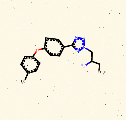 Cc1ccc(Oc2ccc(-c3nnn(CC(N)CC(=O)O)n3)cc2)cc1